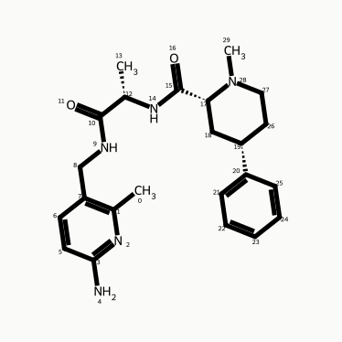 Cc1nc(N)ccc1CNC(=O)[C@H](C)NC(=O)[C@H]1C[C@@H](c2ccccc2)CCN1C